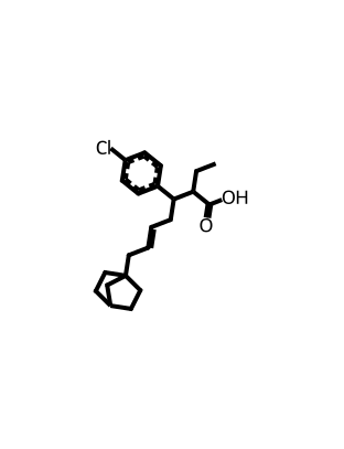 CCC(C(=O)O)C(CC=CCC12CCC(CC1)C2)c1ccc(Cl)cc1